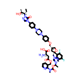 CC[C@@H]([C@H](C)O)n1ncn(-c2ccc(N3CCN(c4ccc(OC[C@@H]5CO[C@@](Cn6c[n+](C(C)OC(=O)N(C)c7ncccc7COC(=O)C[C@H](N)C(=O)O)cn6)(c6ccc(F)cc6F)C5)cc4)CC3)cc2)c1=O